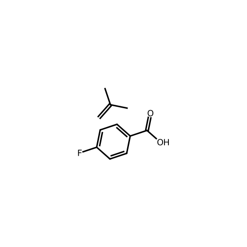 C=C(C)C.O=C(O)c1ccc(F)cc1